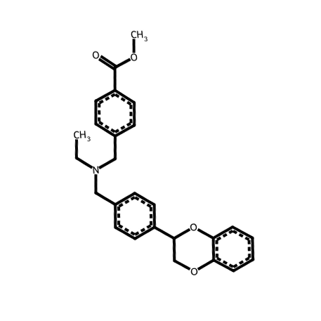 CCN(Cc1ccc(C(=O)OC)cc1)Cc1ccc(C2COc3ccccc3O2)cc1